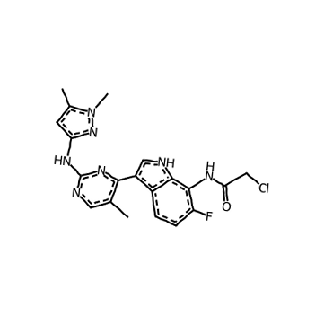 Cc1cnc(Nc2cc(C)n(C)n2)nc1-c1c[nH]c2c(NC(=O)CCl)c(F)ccc12